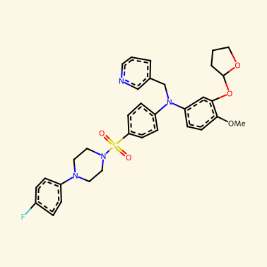 COc1ccc(N(Cc2cccnc2)c2ccc(S(=O)(=O)N3CCN(c4ccc(F)cc4)CC3)cc2)cc1OC1CCCO1